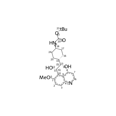 COc1ccc2ncccc2c1[C@H](O)[C@@H](O)[C@H]1CC[C@H](NC(=O)OC(C)(C)C)CC1